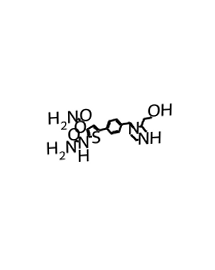 NC(=O)Nc1sc(-c2ccc(CN3CCNCC3CCO)cc2)cc1OC(N)=O